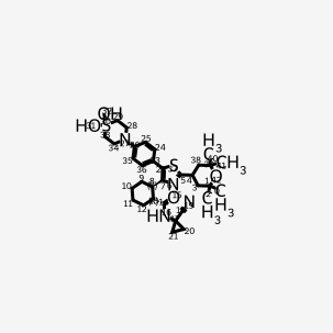 CC1(C)CC(c2nc([C@@H]3CCCC[C@H]3C(=O)NC3(C#N)CC3)c(-c3ccc(N4CCS(O)(O)CC4)cc3)s2)CC(C)(C)O1